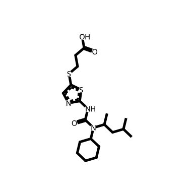 CC(C)CC(C)N(C(=O)Nc1ncc(SCCC(=O)O)s1)C1CCCCC1